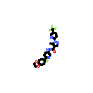 Cc1c(C(=O)Nc2ccc(C3(F)CCC4(CC3)OCCO4)nc2)cnn1-c1ccc(C(F)(F)F)cn1